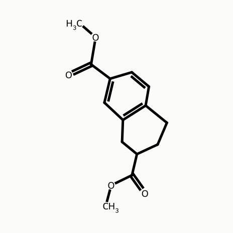 COC(=O)c1ccc2c(c1)CC(C(=O)OC)CC2